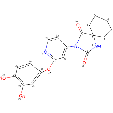 O=C1NC2(CCCCC2)C(=O)N1c1ccnc(Oc2ccc(O)c(O)c2)c1